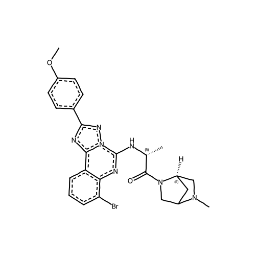 COc1ccc(-c2nc3c4cccc(Br)c4nc(N[C@H](C)C(=O)N4CC5C[C@@H]4CN5C)n3n2)cc1